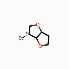 CC[C@@H]1COC2CCOC21